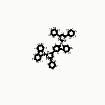 c1ccc(-c2cc(-c3ccc4c(c3)c3ccccc3n4-c3nc(-c4ccccc4)cc(-c4ccccc4)n3)nc(-n3c4ccccc4c4ccccc43)n2)cc1